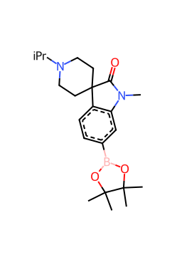 CC(C)N1CCC2(CC1)C(=O)N(C)c1cc(B3OC(C)(C)C(C)(C)O3)ccc12